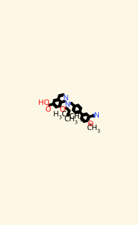 COc1ccc(-c2ccc(CN(C(=O)CC(C)(C)C)c3nccc4cc(C(=O)O)ccc34)cc2)cc1C#N